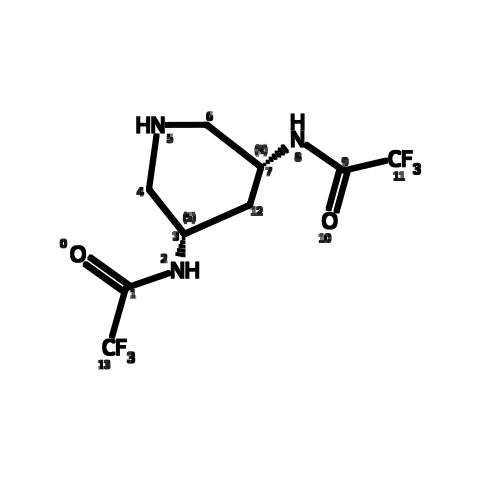 O=C(N[C@@H]1CNC[C@H](NC(=O)C(F)(F)F)C1)C(F)(F)F